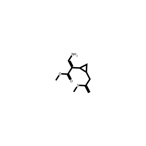 C=C(CC1CC1/C(=C\N)C(=O)OC)SC